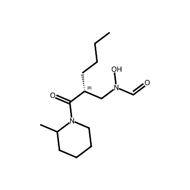 CCCC[C@H](CN(O)C=O)C(=O)N1CCCCC1C